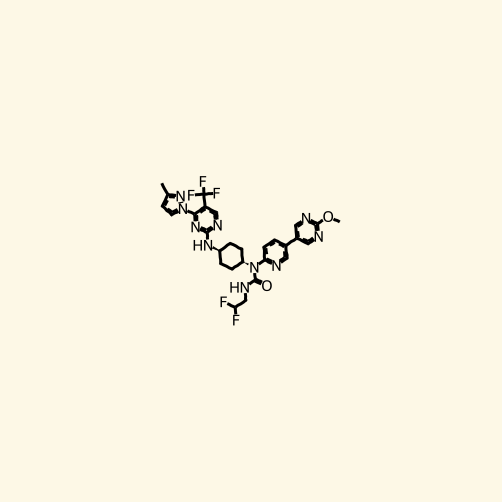 COc1ncc(-c2ccc(N(C(=O)NCC(F)F)[C@H]3CC[C@H](Nc4ncc(C(F)(F)F)c(-n5ccc(C)n5)n4)CC3)nc2)cn1